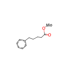 O=C(CCCCc1ccccc1)[O][Mo]